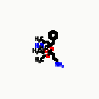 CCO[Si](CCCN)(OCC)OC(C)(Cc1ccccc1)CC(C)N